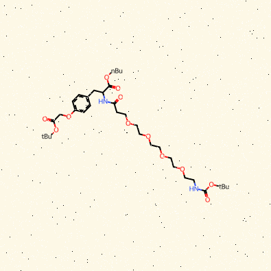 CCCCOC(=O)C(Cc1ccc(OCC(=O)OC(C)(C)C)cc1)NC(=O)CCOCCOCCOCCOCCNC(=O)OC(C)(C)C